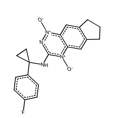 [O-][n+]1nc(NC2(c3ccc(F)cc3)CC2)[n+]([O-])c2cc3c(cc21)CCC3